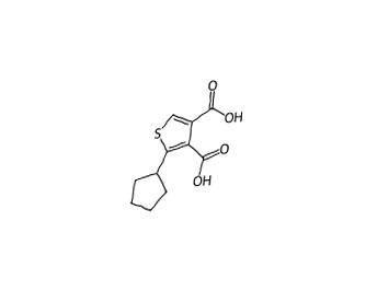 O=C(O)c1csc(C2CCCC2)c1C(=O)O